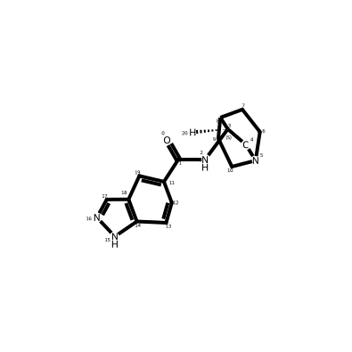 O=C(N[C@@H]1CN2CCC1CC2)c1ccc2[nH]ncc2c1